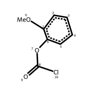 COc1ccccc1OC(=O)Cl